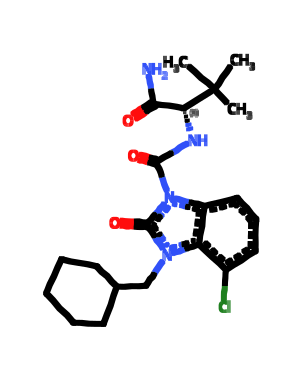 CC(C)(C)[C@H](NC(=O)n1c(=O)n(CC2CCCCC2)c2c(Cl)cccc21)C(N)=O